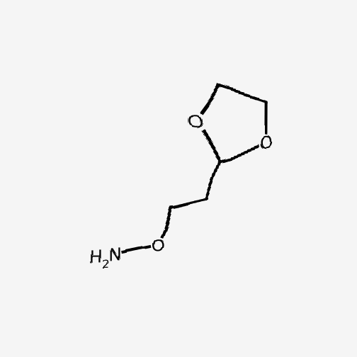 NOCCC1OCCO1